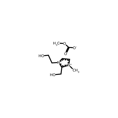 COC(=O)[O-].C[n+]1ccn(CCO)c1CO